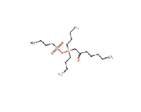 CCCCCC(=O)CS(CCCC)(CCCC)OS(=O)(=O)CCCC